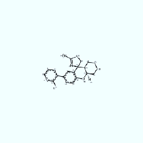 NC1=NC2(CS1)c1cc(-c3cccnc3F)ccc1O[C@@H]1CCCCC12